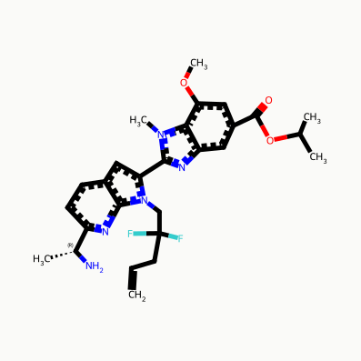 C=CCC(F)(F)Cn1c(-c2nc3cc(C(=O)OC(C)C)cc(OC)c3n2C)cc2ccc([C@@H](C)N)nc21